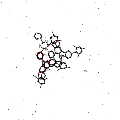 Cc1cc(C)c(-c2ccc3c(c2)c2cc(-c4c(C)cc(C)cc4C)ccc2n3-c2cccc(-c3nc(-c4ccccc4)nc(-c4ccccc4)n3)c2-c2cccc(-c3c(-c4nc(-c5ccccc5)nc(-c5ccccc5)n4)cccc3-n3c4ccc(-c5c(C)cc(C)cc5C)cc4c4cc(-c5c(C)cc(C)cc5C)ccc43)c2)c(C)c1